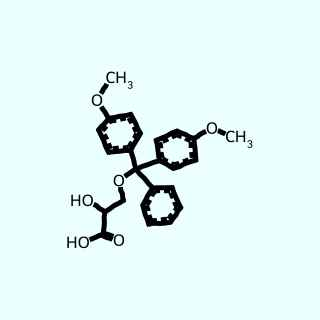 COc1ccc(C(OCC(O)C(=O)O)(c2ccccc2)c2ccc(OC)cc2)cc1